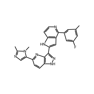 Cc1cc(F)cc(-c2nccc3[nH]c(-c4n[nH]c5ccc(-c6cnc(C)n6C)nc45)cc23)c1